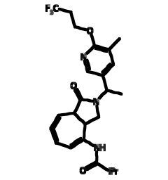 Cc1cc(C(C)N2CC3C(NC(=O)C(C)C)=CC=C=CC3C2=O)cnc1OCCC(F)(F)F